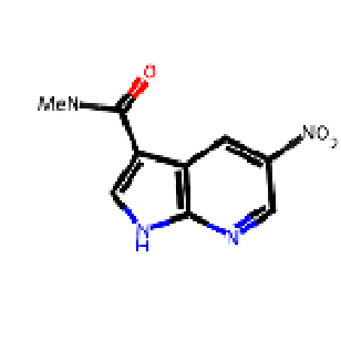 CNC(=O)c1c[nH]c2ncc([N+](=O)[O-])cc12